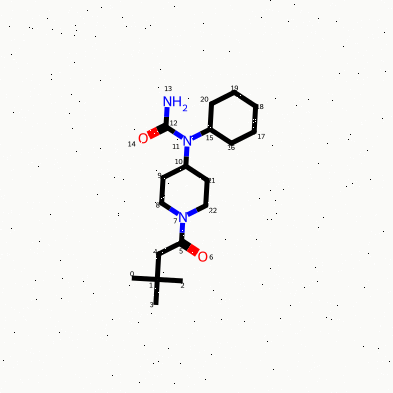 CC(C)(C)CC(=O)N1CCC(N(C(N)=O)C2CCCCC2)CC1